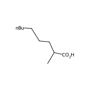 CCCCCCCC(C)C(=O)O